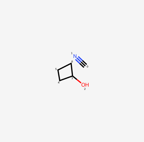 C#N.OC1CCC1